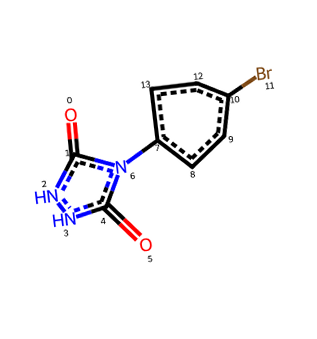 O=c1[nH][nH]c(=O)n1-c1ccc(Br)cc1